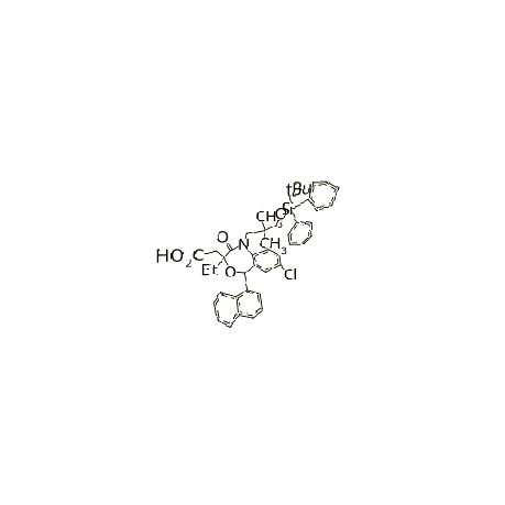 CCC1(CC(=O)O)OC(c2cccc3ccccc23)c2cc(Cl)ccc2N(CC(C)(C)CO[Si](c2ccccc2)(c2ccccc2)C(C)(C)C)C1=O